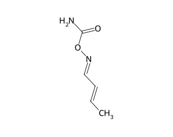 CC=CC=NOC(N)=O